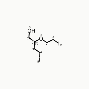 OC[C@H](CCI)OCCI